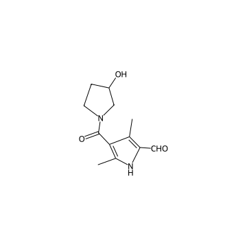 Cc1[nH]c(C=O)c(C)c1C(=O)N1CCC(O)C1